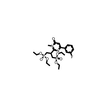 CCOP(=O)(CC(CP(=O)(OCC)OCC)c1nc(-c2cccc(F)c2)cc(=O)n1C)OCC